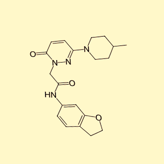 CC1CCN(c2ccc(=O)n(CC(=O)Nc3ccc4c(c3)OCC4)n2)CC1